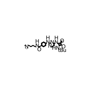 CN(C)CCCCNC(=O)c1ccc(Nc2nccc(Nc3c(NC(C)(C)C)c(=O)c3=O)n2)cc1